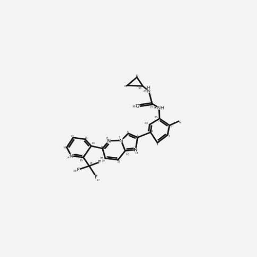 Cc1ccc(-c2cn3nc(-c4cccnc4C(F)(F)F)ccc3n2)cc1NC(=O)NC1CC1